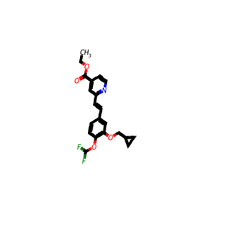 CCOC(=O)c1ccnc(/C=C/c2ccc(OC(F)F)c(OCC3CC3)c2)c1